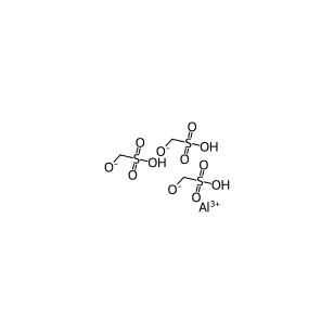 O=S(=O)(O)C[O-].O=S(=O)(O)C[O-].O=S(=O)(O)C[O-].[Al+3]